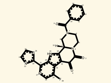 O=C1C(=O)N2CCN(C(=O)c3ccccc3)C[C@H]2c2[nH]c3c(-c4nccs4)ncc(F)c3c21